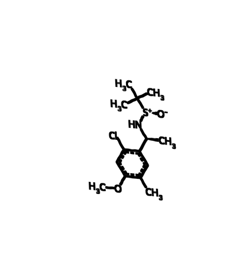 COc1cc(Cl)c([C@H](C)N[S@+]([O-])C(C)(C)C)cc1C